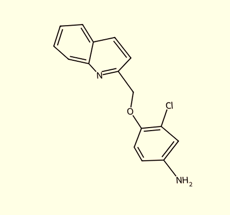 Nc1ccc(OCc2ccc3ccccc3n2)c(Cl)c1